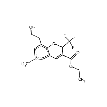 CCOC(=O)C1=Cc2cc(C)cc(CCO)c2OC1C(F)(F)F